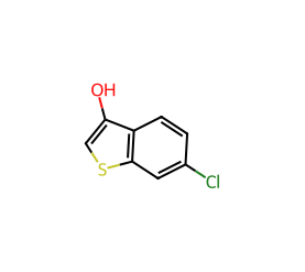 Oc1csc2cc(Cl)ccc12